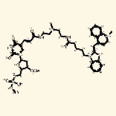 COC1CC(n2cc(/C=C/C(=O)NCCN(C)CCNC(=O)CCCCN3/C(=C/c4cc[n+](C)c5ccccc45)Sc4ccccc43)c(=O)[nH]c2=O)OC1COP(=O)(O)OC(C)C